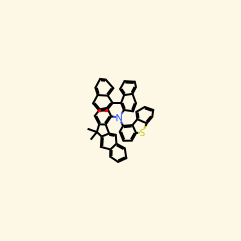 CC1(C)c2cc3ccccc3cc2-c2c(N(c3ccc4ccccc4c3-c3cccc4ccccc34)c3cccc4sc5ccccc5c34)cccc21